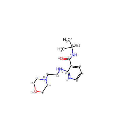 CCC(C)(C)NC(=O)c1cccnc1NCCN1CCOCC1